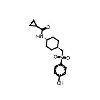 O=C(N[C@H]1CC[C@H](CS(=O)(=O)c2ccc(O)cc2)CC1)C1CC1